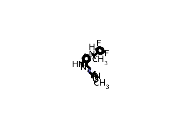 C[C@@H](Nc1ccc2[nH]nc(/C=C/c3cnn(C)c3)c2c1)c1cc(F)cc(F)c1